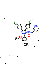 CCOc1cc(C(F)(F)F)ccc1C1=NC(c2ccc(Cl)cc2)C(c2ccc(Cl)cc2)N1C(=O)NCc1cccnc1